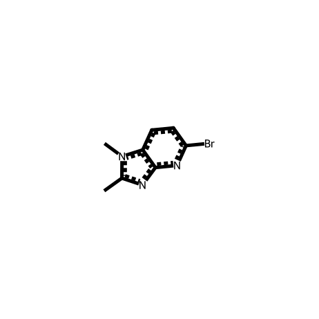 Cc1nc2nc(Br)ccc2n1C